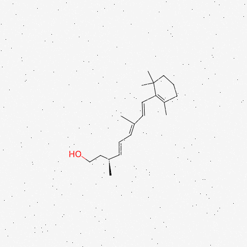 CC1=C(/C=C/C(C)=C/C=C/[C@@H](C)CCO)C(C)(C)CCC1